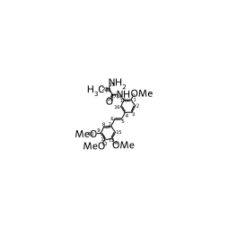 COc1ccc(C=Cc2cc(OC)c(OC)c(OC)c2)cc1NC(=O)[C@H](C)N